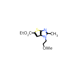 CCOC(=O)c1cc2c(nc(C)n2CCOC)s1